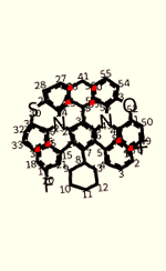 Fc1cccc(-c2c(C3CCCCC3)c(-c3cccc(F)c3)c(N3c4ccccc4Sc4ccccc43)c(C3CCCCC3)c2N2c3ccccc3Oc3ccccc32)c1